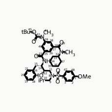 COc1ccc(S(=O)(=O)N(CC(C)C)C[C@@H](O)[C@H](Cc2ccccc2)NC(=O)c2cc(C(=O)N(C)C3CCCCC3)cc(N(C)C(=O)OC(C)(C)C)c2)cc1